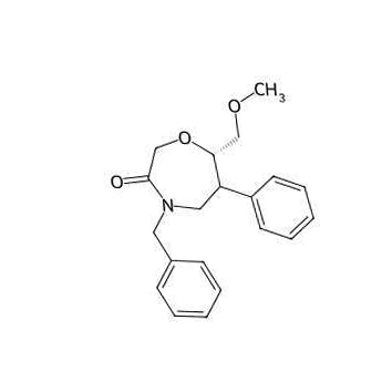 COC[C@H]1OCC(=O)N(Cc2ccccc2)CC1c1ccccc1